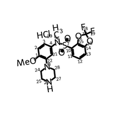 COc1ccc(N(C)S(=O)(=O)c2cccc3c2OC(F)(F)O3)cc1N1CCNCC1.Cl